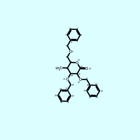 CC1C(COCc2ccccc2)OC(=O)C(OCc2ccccc2)C1OCc1ccccc1